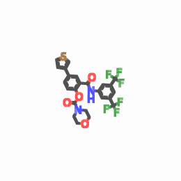 O=C(Nc1cc(C(F)(F)F)cc(C(F)(F)F)c1)c1cc(-c2ccsc2)ccc1OC(=O)N1CCOCC1